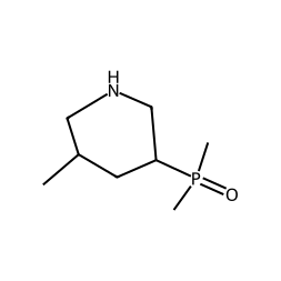 CC1CNCC(P(C)(C)=O)C1